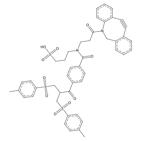 Cc1ccc(S(=O)(=O)CC(CS(=O)(=O)c2ccc(C)cc2)C(=O)c2ccc(C(=O)N(CCCS(=O)(=O)O)CCC(=O)N3Cc4ccccc4C#Cc4ccccc43)cc2)cc1